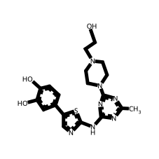 Cc1nc(Nc2ncc(-c3ccc(O)c(O)c3)s2)nc(N2CCN(CCO)CC2)n1